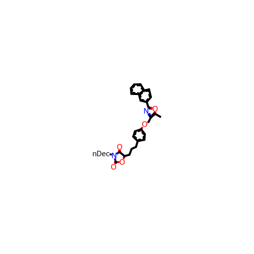 CCCCCCCCCCN1C(=O)OC(CCCc2ccc(OCc3nc(-c4ccc5ccccc5c4)oc3C)cc2)C1=O